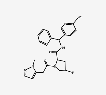 CC(C)c1ccc(C(NC(=O)C2CC(F)CN2C(=O)Cc2ccnn2C)c2ccccc2)cc1